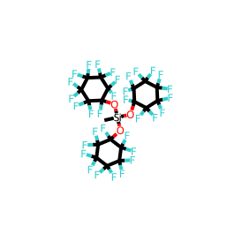 C[Si](OC1(F)C(F)(F)C(F)(F)C(F)(F)C(F)(F)C1(F)F)(OC1(F)C(F)(F)C(F)(F)C(F)(F)C(F)(F)C1(F)F)OC1(F)C(F)(F)C(F)(F)C(F)(F)C(F)(F)C1(F)F